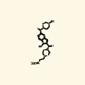 CC(C)N1CCN(C(=O)c2ccc3c(c2)cc(C(=O)N2CCN(CCOC=O)CC2)n3C(C)C)CC1